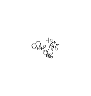 C[C@@H](C(=O)N[C@H]1CCS(=O)(=O)[C@H]2CC[C@H](C(=O)N[C@@H]3CCCc4ccccc43)N2C1)N(C)C(=O)OC(C)(C)C